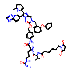 Cc1cccc(-c2nc(CN(Cc3ccccc3Oc3ccccc3)C(=O)OCc3ccc(NC(=O)C(CCCNC(N)=O)NC(=O)C(NC(=O)CCCCCN4C(=O)C=CC4=O)C(C)C)cc3)[nH]c2-c2ccc3ncnn3c2)n1